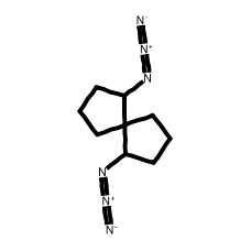 [N-]=[N+]=NC1CCCC12CCCC2N=[N+]=[N-]